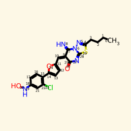 CCCCC1=NN2C(=N)/C(=C/c3ccc(-c4ccc(NO)cc4Cl)o3)C(=O)N=C2S1